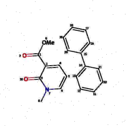 COC(=O)c1cccn(C)c1=O.c1ccc(-c2ccccc2)cc1